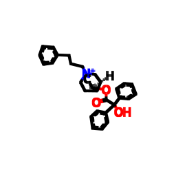 O=C(O[C@@H]1C[N+]2(CCCc3ccccc3)CCC1CC2)C(O)(c1ccccc1)c1ccccc1